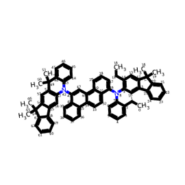 CCc1ccccc1N(c1cc2c(cc1CC)C(C)(C)c1ccccc1-2)c1cccc2c1ccc1c3ccccc3c(N3c4ccccc4C(C)(C)c4cc5c(cc43)-c3ccccc3C5(C)C)cc21